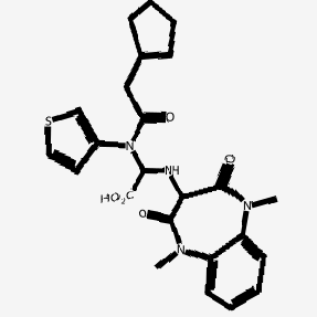 CN1C(=O)C(NC(C(=O)O)N(C(=O)CC2CCCC2)c2ccsc2)C(=O)N(C)c2ccccc21